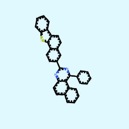 c1ccc(-c2nc(-c3ccc4c(ccc5c6ccccc6sc45)c3)nc3ccc4ccccc4c23)cc1